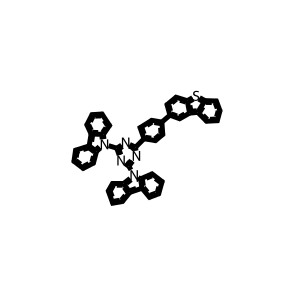 c1ccc2c(c1)sc1ccc(-c3ccc(-c4nc(-n5c6ccccc6c6ccccc65)nc(-n5c6ccccc6c6ccccc65)n4)cc3)cc12